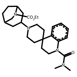 CCOC(=O)N1CC2CCC1CC(N1CCC3(CCN(C(=O)N(C)C)c4ccccc43)CC1)C2